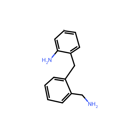 NCc1ccccc1Cc1cc[c]cc1N